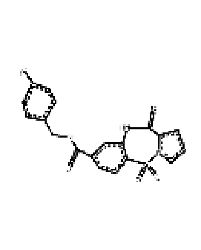 O=C(NCc1ccc(C(F)(F)F)cc1)c1ccc2c(c1)NC(=O)c1cccn1S2(=O)=O